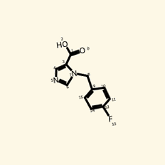 O=C(O)c1cncn1Cc1ccc(F)cc1